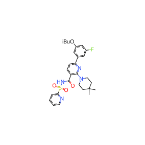 CC(C)COc1cc(F)cc(-c2ccc(C(=O)NS(=O)(=O)c3ccccn3)c(N3CCC(C)(C)CC3)n2)c1